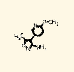 COc1ccc(-c2c(N)noc2C)cn1